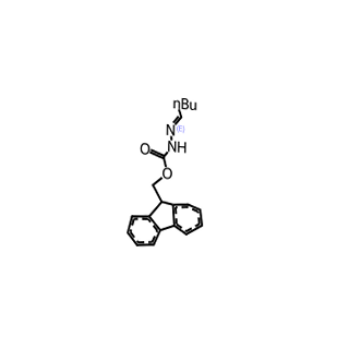 CCCC/C=N/NC(=O)OCC1c2ccccc2-c2ccccc21